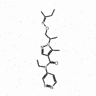 CCC(C)=NOCC(C)n1ncc(C(=O)N(CC)c2ccnnc2)c1C